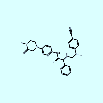 C[C@H](CNC(C(=O)Nc1ccc(N2CCN(C)C(=O)C2)cn1)c1ccccc1)c1ccc(C#N)cc1